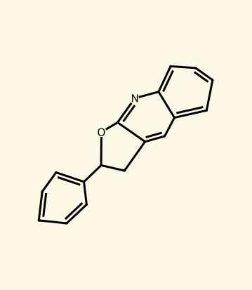 c1ccc(C2Cc3cc4ccccc4nc3O2)cc1